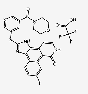 O=C(O)C(F)(F)F.O=C(c1cncc(Sc2nc3c4ccc(F)cc4c4c(=O)[nH]ccc4c3[nH]2)c1)N1CCOCC1